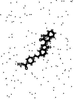 NC(=O)N1CCN(CCc2ccc3[nH]c(-c4cc5ccccc5[nH]c4=O)nc3c2)CC1